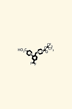 O=C(O)C1CCN(c2cc(C(F)F)ccc2CN2CCN(C(=O)OC(C(F)(F)F)C(F)(F)F)CC2)CC1